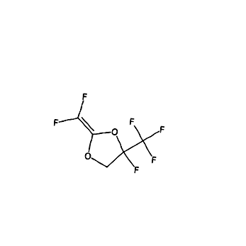 FC(F)=C1OCC(F)(C(F)(F)F)O1